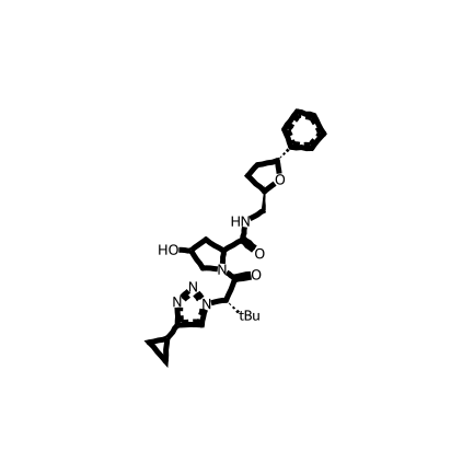 CC(C)(C)[C@@H](C(=O)N1CC(O)CC1C(=O)NC[C@H]1CC[C@H](c2ccccc2)O1)n1cc(C2CC2)nn1